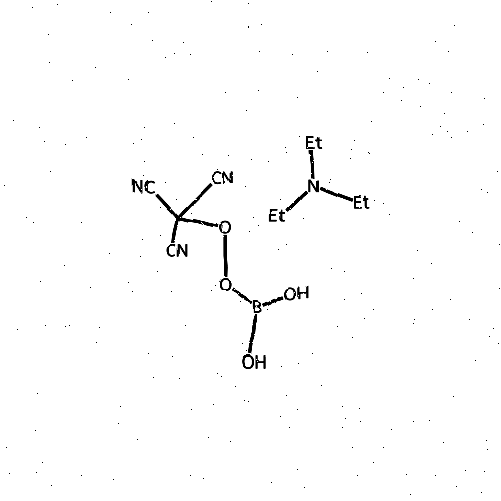 CCN(CC)CC.N#CC(C#N)(C#N)OOB(O)O